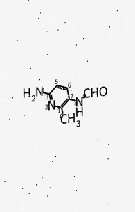 Cc1nc(N)ccc1NC=O